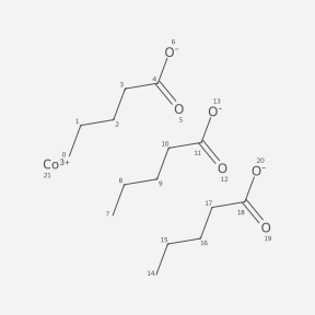 CCCCC(=O)[O-].CCCCC(=O)[O-].CCCCC(=O)[O-].[Co+3]